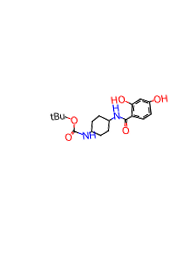 CC(C)(C)OC(=O)NC1CCC(NC(=O)c2ccc(O)cc2O)CC1